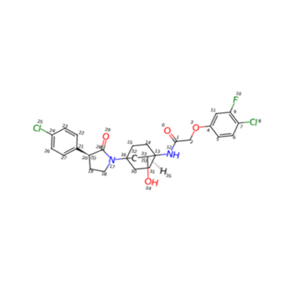 O=C(COc1ccc(Cl)c(F)c1)NC12CCC(N3CC[C@@H](c4ccc(Cl)cc4)C3=O)(CC1)C[C@@H]2O